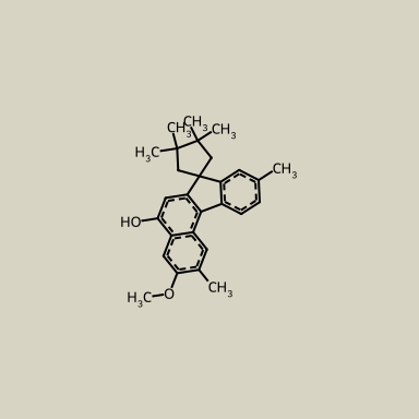 COc1cc2c(O)cc3c(c2cc1C)-c1ccc(C)cc1C31CC(C)(C)C(C)(C)C1